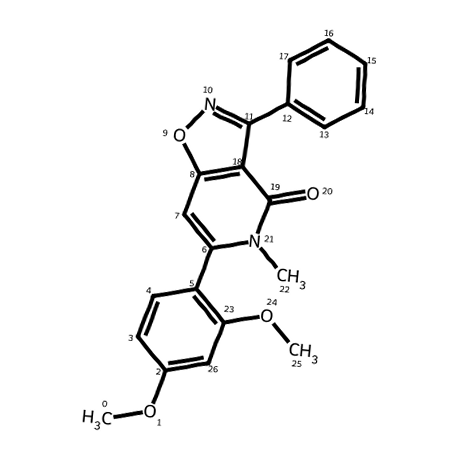 COc1ccc(-c2cc3onc(-c4ccccc4)c3c(=O)n2C)c(OC)c1